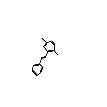 Cc1ccc(C)c(/C=C/c2ccccc2)c1